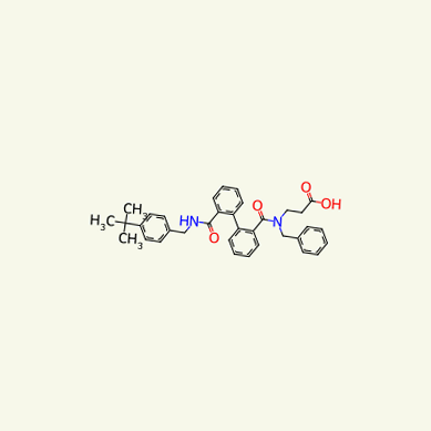 CC(C)(C)c1ccc(CNC(=O)c2ccccc2-c2ccccc2C(=O)N(CCC(=O)O)Cc2ccccc2)cc1